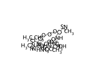 CC(=O)NC(C(=O)N1C[C@H](O)C[C@H]1C(=O)NCc1ccc(-c2scnc2C)cc1OCCOCCOc1ccc(C2=N[C@@H](CC(=O)Nc3ccccc3)c3nnc(C)n3-c3sc(C)c(C)c32)cc1)C(C)(C)C